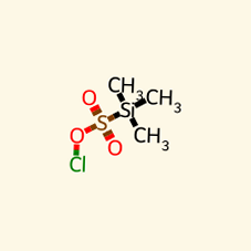 C[Si](C)(C)S(=O)(=O)OCl